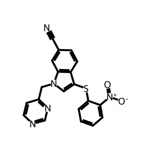 N#Cc1ccc2c(Sc3ccccc3[N+](=O)[O-])cn(Cc3ccncn3)c2c1